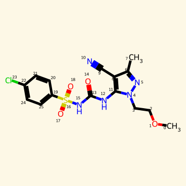 COCCn1nc(C)c(C#N)c1NC(=O)NS(=O)(=O)c1ccc(Cl)cc1